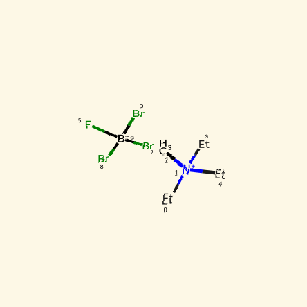 CC[N+](C)(CC)CC.F[B-](Br)(Br)Br